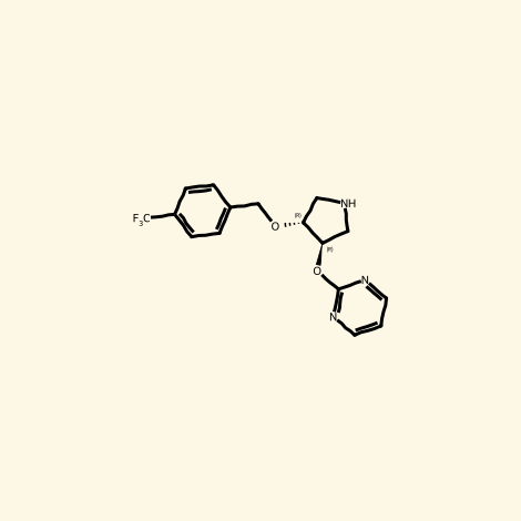 FC(F)(F)c1ccc(CO[C@@H]2CNC[C@H]2Oc2ncccn2)cc1